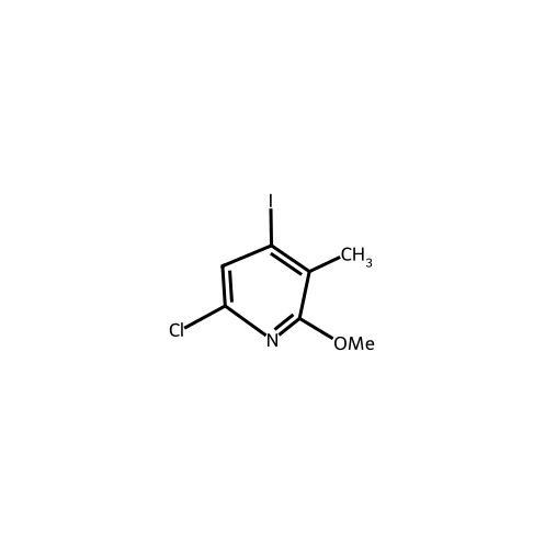 COc1nc(Cl)cc(I)c1C